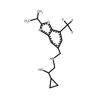 CC(C)c1nc2cc(CNCC(O)C3CC3)cc(C(F)(F)F)c2o1